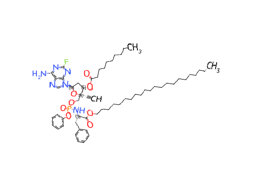 C#C[C@]1(COP(=O)(N[C@@H](Cc2ccccc2)C(=O)OCCCCCCCCCCCCCCCCCCCCCC)Oc2ccccc2)O[C@@H](n2cnc3c(N)nc(F)nc32)C[C@@H]1OC(=O)CCCCCCCCC